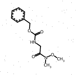 CON(C)C(=O)CNC(=O)OCc1ccccc1